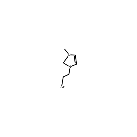 CC(=O)CCN1C=CN(C)C1